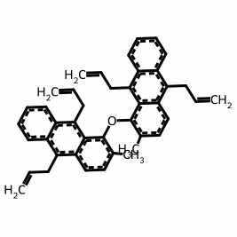 C=CCc1c2ccccc2c(CC=C)c2c(Oc3c(C)ccc4c(CC=C)c5ccccc5c(CC=C)c34)c(C)ccc12